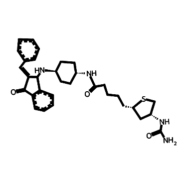 NC(=O)N[C@H]1CS[C@@H](CCCCC(=O)N[C@H]2CC[C@H](NC3/C(=C\c4ccccc4)C(=O)c4ccccc43)CC2)C1